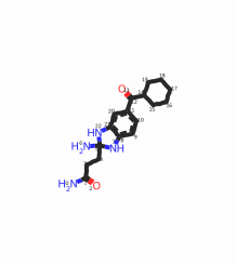 NC(=O)CCC1(N)Nc2ccc(C(=O)C3CCCCC3)cc2N1